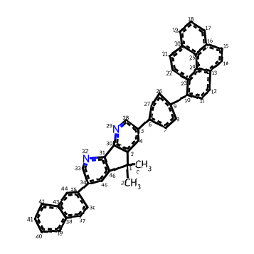 CC1(C)c2cc(-c3ccc(-c4ccc5ccc6cccc7ccc4c5c67)cc3)cnc2-c2ncc(-c3ccc4ccccc4c3)cc21